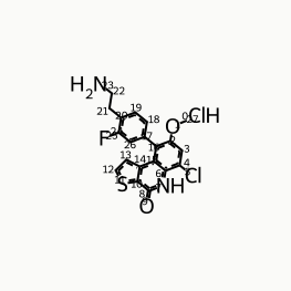 COc1cc(Cl)c2[nH]c(=O)c3sccc3c2c1-c1ccc(CCN)c(F)c1.Cl